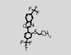 CCSc1cc(C(F)(F)F)ccc1-c1nc2cc(C(F)(F)F)ccc2o1